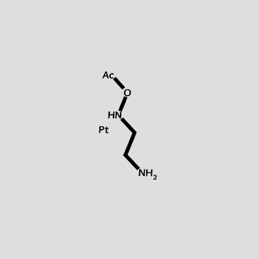 CC(=O)ONCCN.[Pt]